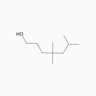 CC(C)CC(C)(C)CCCO